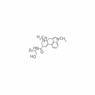 CCC(CO)NC(=O)C1C=C2c3cccc4c3c(cn4C)C[C@H]2N(C)C1